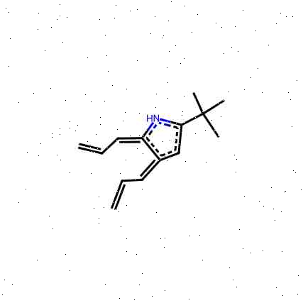 C=C/C=c1/cc(C(C)(C)C)[nH]/c1=C/C=C